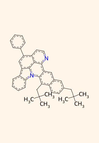 CC(C)(C)Cc1ccc2c(CC(C)(C)C)c3c(cc2c1)c1nccc2c(-c4ccccc4)cc4c5ccccc5n3c4c21